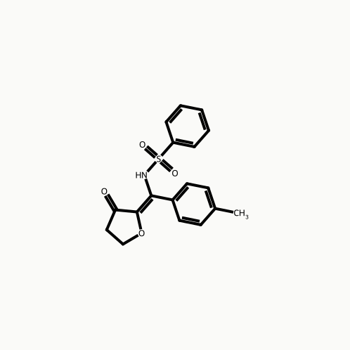 Cc1ccc(/C(NS(=O)(=O)c2ccccc2)=C2\OCCC2=O)cc1